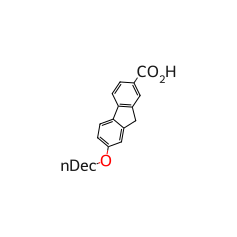 CCCCCCCCCCOc1ccc2c(c1)Cc1cc(C(=O)O)ccc1-2